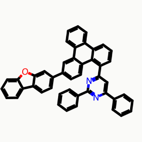 c1ccc(-c2cc(-c3cccc4c5ccccc5c5cc(-c6ccc7c(c6)oc6ccccc67)ccc5c34)nc(-c3ccccc3)n2)cc1